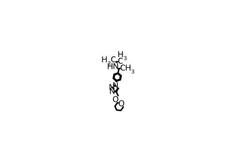 CC(C)NC(C)c1ccc(-n2cc(COC3CCCCO3)nn2)cc1